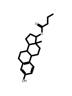 CCCC(=O)OC1CCC2C3CCc4cc(O)ccc4C3CCC12C